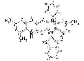 Cc1cc(C)c2c(c1)Oc1cc3c(cc1B2)B1c2sc4ccccc4c2Oc2cc(C)cc(c21)N3c1ccccc1